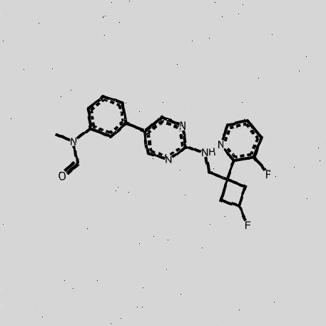 CN(C=O)c1cccc(-c2cnc(NCC3(c4ncccc4F)CC(F)C3)nc2)c1